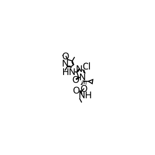 CCNC(=O)OC[C@H](C1CC1)n1cc(Cl)nc(Nc2cc(C)c(OC)nc2C)c1=O